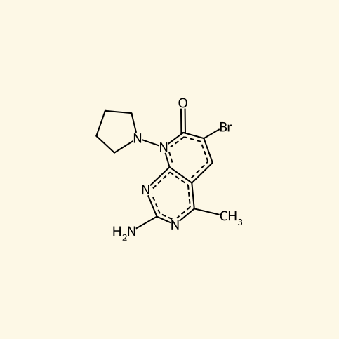 Cc1nc(N)nc2c1cc(Br)c(=O)n2N1CCCC1